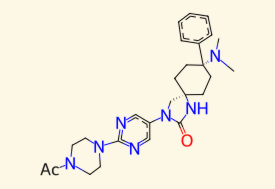 CC(=O)N1CCN(c2ncc(N3C[C@]4(CC[C@@](c5ccccc5)(N(C)C)CC4)NC3=O)cn2)CC1